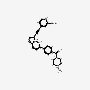 CC(=O)Nc1cc(C#Cc2cnc3ccc(-c4ccc(C(=O)N5CCN(C)CC5)cc4)nn23)ccn1